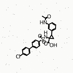 CC(=O)Nc1cccc(C2CC2(NS(=O)(=O)c2ccc(-c3ccc(Cl)cc3)cc2)C(=O)O)c1